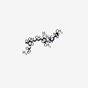 COC(=O)C[C@@H]1C[C@@]2(CO2)[C@H](O)[C@@H](/C=C/C(C)=C/C[C@@H]2O[C@H](C)[C@H](NC(=O)/C=C\C(C)c3noc(C)n3)C[C@@H]2C)O1